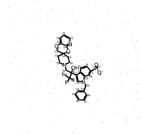 O=[N+]([O-])c1ccc2c(C(O)(CN3CCC4(CC3)COc3cccnc3O4)C(F)(F)F)cn(Cc3ccccc3)c2c1